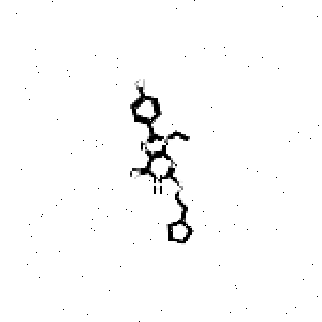 CCn1c(-c2ccc(Cl)cc2)nc2c(=O)[nH]c(SCCC3CCCC3)nc21